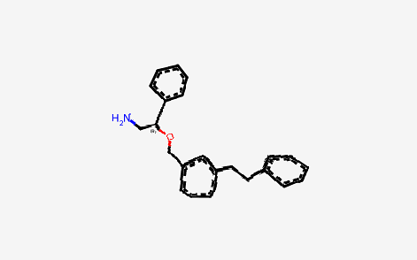 NC[C@H](OCc1cccc(CCc2ccccc2)c1)c1ccccc1